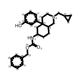 O=C(NC1CCC2CN(CC3CC3)CCC2(c2cccc(O)c2)C1)OCc1ccccc1